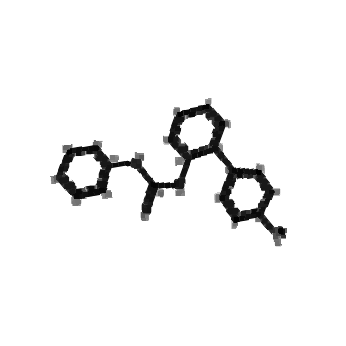 CC(C)c1ccc(-c2ccccc2OC(=O)Oc2ccccc2)cc1